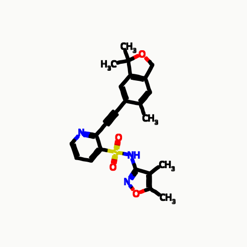 Cc1cc2c(cc1C#Cc1ncccc1S(=O)(=O)Nc1noc(C)c1C)C(C)(C)OC2